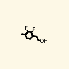 CC1=C(F)C(F)=C(CCO)CC1